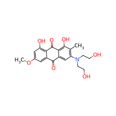 COc1cc(O)c2c(c1)C(=O)c1cc(N(CCO)CCO)c(C)c(O)c1C2=O